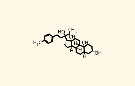 CC[C@@](O)(CCc1ccc(C)cc1)[C@H]1CC[C@H]2[C@@H]3CC[C@H]4C[C@@H](O)CC[C@]4(C)[C@H]3CC[C@]12C